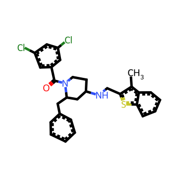 Cc1c(CNC2CCN(C(=O)c3cc(Cl)cc(Cl)c3)C(Cc3ccccc3)C2)sc2ccccc12